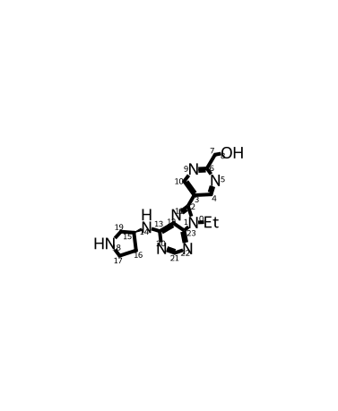 CCn1c(-c2cnc(CO)nc2)nc2c(N[C@H]3CCNC3)ncnc21